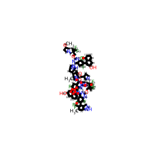 CO[C@@H]1CCN(C[C@@]2(COc3nc(N4CC5CC[C@@](CCOCC6CCN(C[C@@]7(COc8nc(N9CC%10CC[C@@](C)(C9)N%10COCCNC[C@@]9(COc%10nc(N%11CC%12CC[C@@](C)(C%11)N%12)c%11cc(F)c(-c%12c(C(F)(F)F)c(C)cc%13[nH]ncc%12%13)c(F)c%11n%10)CC9(F)F)c9cc(F)c(-c%10cc(O)cc%11cccc(Cl)c%10%11)c(F)c9n8)CC7(F)F)C6)(C4)N5)c4cc(F)c(-c5cc(O)cc6cccc(Cl)c56)c(F)c4n3)CC2(F)F)C1